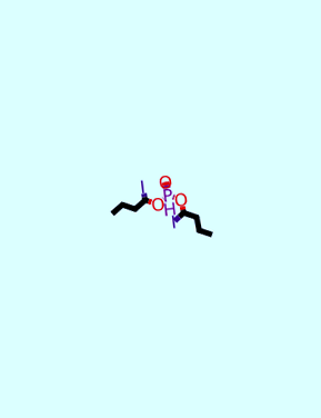 CCCC(I)O[PH](=O)OC(I)CCC